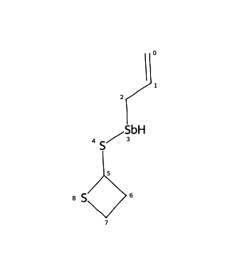 C=C[CH2][SbH][S]C1CCS1